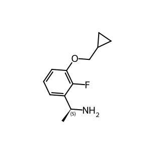 C[C@H](N)c1cccc(OCC2CC2)c1F